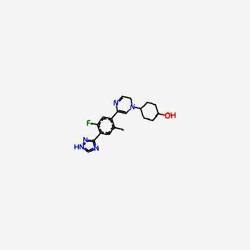 Cc1cc(-c2nc[nH]n2)c(F)cc1C1=CN(C2CCC(O)CC2)CC=N1